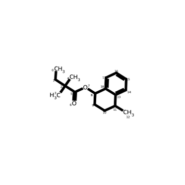 CCC(C)(C)C(=O)OC1CCC(C)c2ccccc21